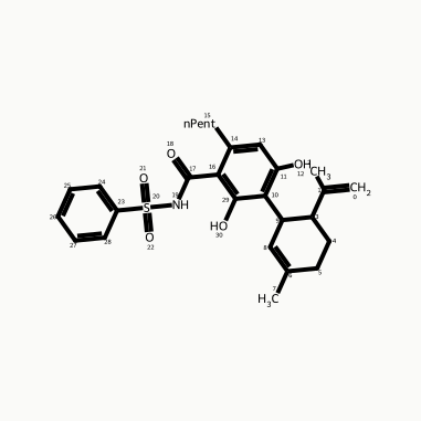 C=C(C)C1CCC(C)=CC1c1c(O)cc(CCCCC)c(C(=O)NS(=O)(=O)c2ccccc2)c1O